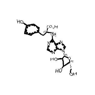 O=C(O)[C@H](Cc1ccc(O)cc1)Nc1ncnc2c1ncn2[C@@H]1O[C@H](CO)C(O)C1O